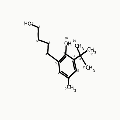 Cc1cc(CCCCO)c(O)c(C(C)(C)C)c1